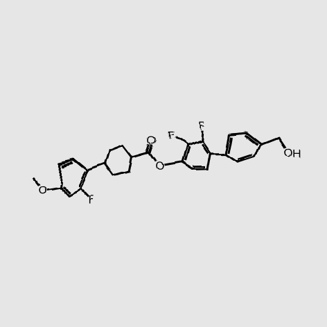 COc1ccc(C2CCC(C(=O)Oc3ccc(-c4ccc(CO)cc4)c(F)c3F)CC2)c(F)c1